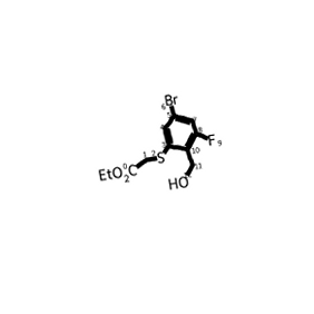 CCOC(=O)CSc1cc(Br)cc(F)c1CO